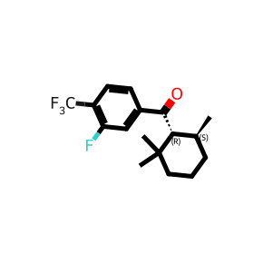 C[C@H]1CCCC(C)(C)[C@@H]1C(=O)c1ccc(C(F)(F)F)c(F)c1